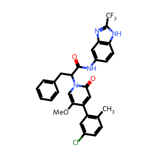 COc1cn(C(Cc2ccccc2)C(=O)Nc2ccc3[nH]c(C(F)(F)F)nc3c2)c(=O)cc1-c1cc(Cl)ccc1C